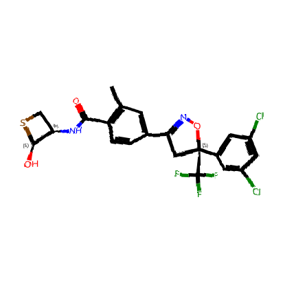 Cc1cc(C2=NO[C@@](c3cc(Cl)cc(Cl)c3)(C(F)(F)F)C2)ccc1C(=O)N[C@@H]1CS[C@@H]1O